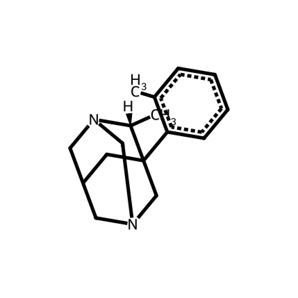 Cc1ccccc1C12CC3CN(CN(C3)[C@@H]1C)C2